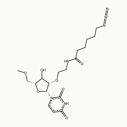 COC[C@H]1O[C@@H](n2ccc(=O)[nH]c2=O)[C@@H](OCCNC(=O)CCCCCN=[N+]=[N-])C1O